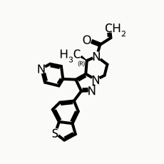 C=CC(=O)N1CCn2nc(-c3ccc4sccc4c3)c(-c3ccncc3)c2[C@H]1C